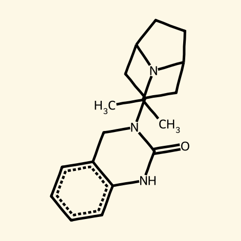 CC(C)N1C2CCC1CC(N1Cc3ccccc3NC1=O)C2